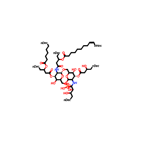 CCCCCC/C=C\CCCCCCCC(=O)OC(CCCCCCCCCCC)CC(=O)NC1[C@H](OCC2OC(OP(=O)(O)O)C(NC(=O)CC(O)CCCCCCCCCCC)[C@@H](OC(=O)CC(O)CCCCCCCCCCC)[C@@H]2O)OC(CO)C(O)[C@@H]1OC(=O)CC(CCCCCCCCCCC)OC(=O)CCCCCCCCCCCCCCC